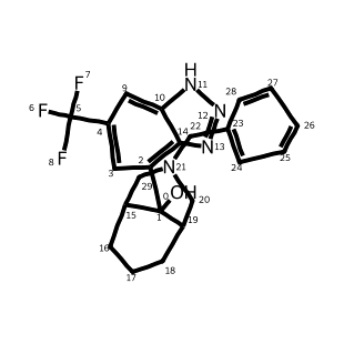 OC1(c2cc(C(F)(F)F)cc3[nH]nnc23)C2CCCC1CN(Cc1ccccc1)C2